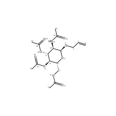 C=CCO[C@H]1O[C@H](COC(C)=O)[C@@H](OC(C)=O)[C@H](OC(C)=O)[C@H]1NC(C)=O